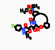 CO[C@H](C[C@H](O)[C@@H]1COc2cccc(c2)CCCCc2cc(cc(N(C)S(C)(=O)=O)c2)C(=O)N1)C(=O)Nc1ccc(F)cc1